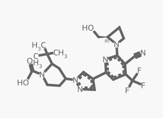 CC(C)(C)C1CC(n2cc(-c3cc(C(F)(F)F)c(C#N)c(N4CC[C@@H]4CO)n3)cn2)CCN1C(=O)O